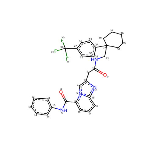 O=C(Cc1cn2c(C(=O)Nc3ccccc3)cccc2n1)NCC1(c2ccc(C(F)(F)F)cc2)CCCCC1